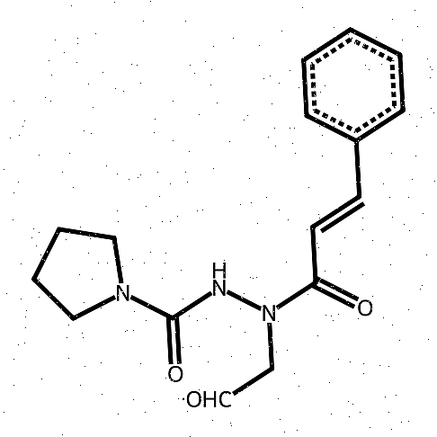 O=[C]CN(NC(=O)N1CCCC1)C(=O)/C=C/c1ccccc1